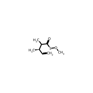 C=C[C@@H](C)C(C)C(=O)SOC